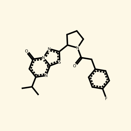 CC(C)c1cc(=O)n2nc(C3CCCN3C(=O)Cc3ccc(F)cc3)sc2n1